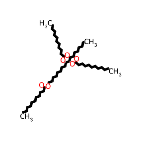 CCCCCCCCCCCC(=O)OCCCCCCCCC(OC(=O)CCCCCCCCCCC)C(CCCCCCCC)OC(=O)CCCCCCCCCCC